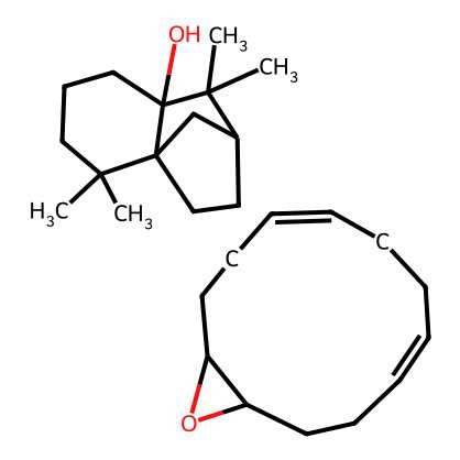 C1=CCCC2OC2CCC=CCC1.CC1(C)CCCC2(O)C(C)(C)C3CCC12C3